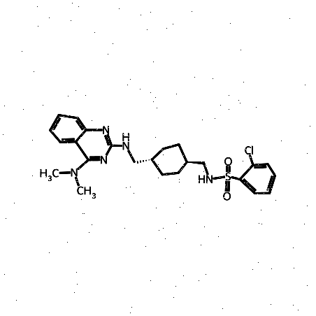 CN(C)c1nc(NC[C@H]2CC[C@H](CNS(=O)(=O)c3ccccc3Cl)CC2)nc2ccccc12